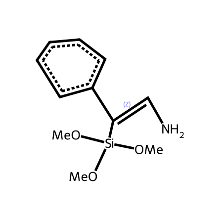 CO[Si](OC)(OC)/C(=C\N)c1ccccc1